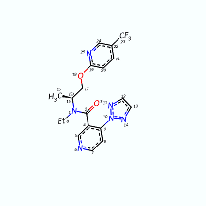 CCN(C(=O)c1cnccc1-n1nccn1)[C@@H](C)COc1ccc(C(F)(F)F)cn1